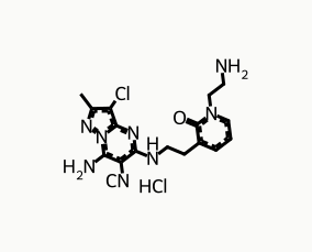 Cc1nn2c(N)c(C#N)c(NCCc3cccn(CCN)c3=O)nc2c1Cl.Cl